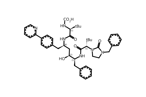 CC(C)(C)[C@H](NC(=O)O)C(=O)N[C@H](Cc1ccc(-c2ccccn2)cc1)C[C@H](O)[C@H](Cc1ccccc1)NC(=O)[C@@H](N1CCN(Cc2ccccc2)C1=O)C(C)(C)C